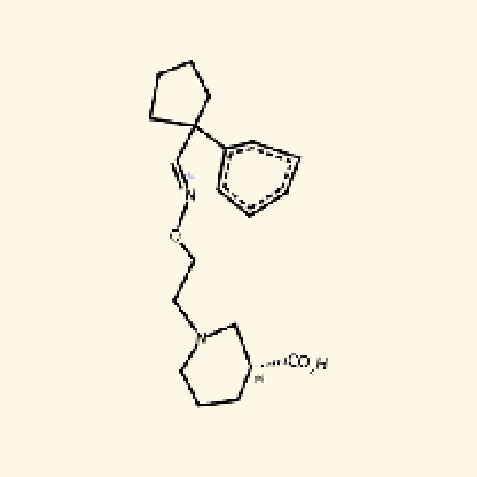 O=C(O)[C@@H]1CCCN(CCO/N=C/C2(c3ccccc3)CCCC2)C1